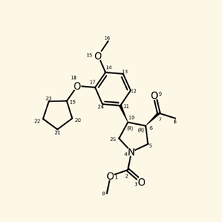 COC(=O)N1C[C@H](C(C)=O)[C@H](c2ccc(OC)c(OC3CCCC3)c2)C1